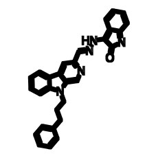 O=C1N=c2ccccc2=C1N/N=C/c1cc2c3ccccc3n(CCCc3ccccc3)c2cn1